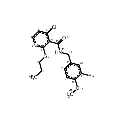 CCCSc1nccc(Cl)c1C(=O)NCc1ccc(OC)c(F)c1